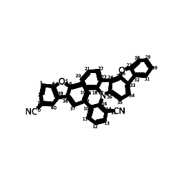 N#Cc1ccc2oc3ccc(-c4cccc(C#N)c4-n4c5ccccc5c5c6oc7ccccc7c6ccc54)cc3c2c1